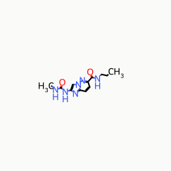 CCCNC(=O)c1ccc2nc(NC(=O)NC)cn2n1